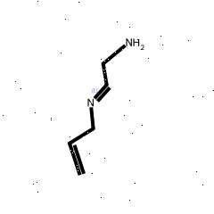 C=CC/N=C/CN